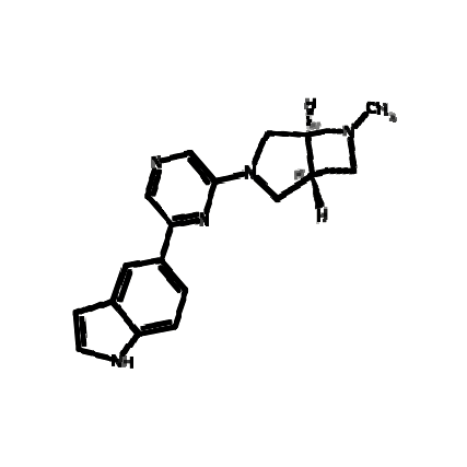 CN1C[C@@H]2CN(c3cncc(-c4ccc5[nH]ccc5c4)n3)C[C@H]21